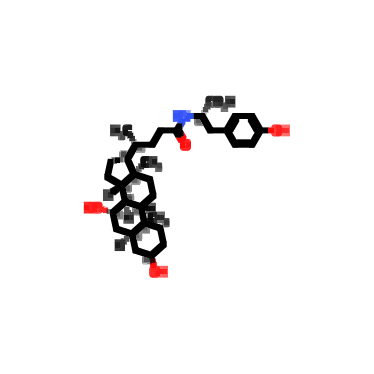 C[C@H](CCC(=O)N[C@@H](Cc1ccc(O)cc1)C(=O)O)[C@H]1CC[C@H]2[C@@H]3[C@@H](O)C[C@@H]4C[C@H](O)CC[C@]4(C)[C@H]3CC[C@]12C